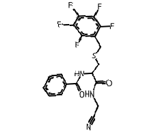 N#CCNC(=O)C(CSCc1c(F)c(F)c(F)c(F)c1F)NC(=O)c1ccccc1